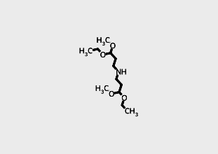 CCOC(CCNCCC(OC)OCC)OC